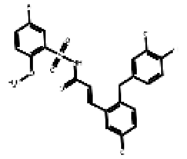 COc1ccc(Br)cc1S(=O)(=O)NC(=O)C=Cc1cc(Cl)ccc1Cc1ccc(Cl)c(Cl)c1